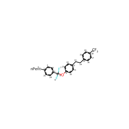 CCCCCc1ccc(C(F)(F)Oc2ccc(CCc3ccc(C(F)(F)F)cc3)cc2)cc1